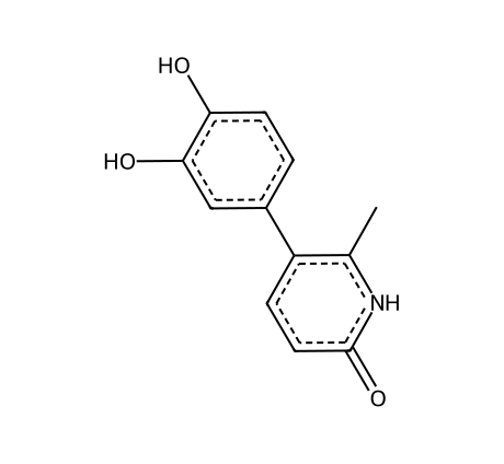 Cc1[nH]c(=O)ccc1-c1ccc(O)c(O)c1